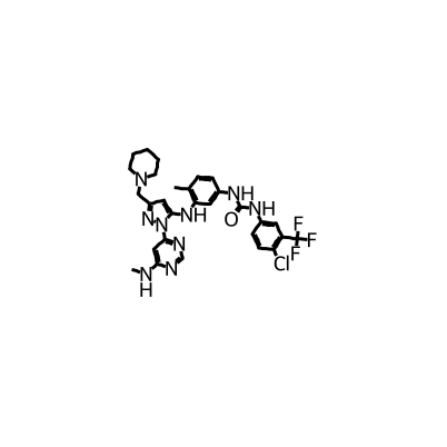 CNc1cc(-n2nc(CN3CCCCC3)cc2Nc2cc(NC(=O)Nc3ccc(Cl)c(C(F)(F)F)c3)ccc2C)ncn1